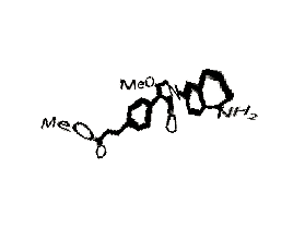 COC(=O)CCc1ccc(C2=C(OC)CN(c3ccc4c(c3)CCCC4N)C2=O)cc1